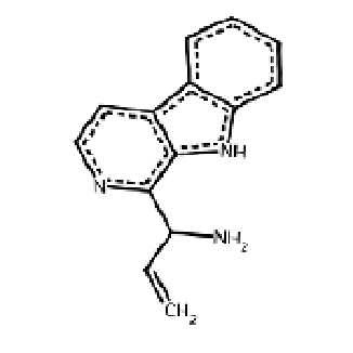 C=CC(N)c1nccc2c1[nH]c1ccccc12